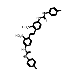 Cc1ccc(NC(=S)Nc2ccc(C=Cc3ccc(NC(=S)Nc4ccc(C)cc4)cc3S(=O)(=O)O)c(S(=O)(=O)O)c2)cc1